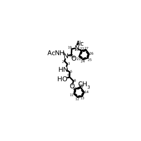 CC(=O)NN(CCNCC(O)COc1ccccc1C)C(=O)CN(C(C)=O)c1ccccc1